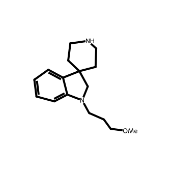 COCCCN1CC2(CCNCC2)c2ccccc21